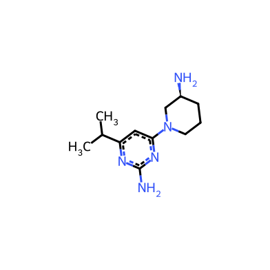 CC(C)c1cc(N2CCC[C@H](N)C2)nc(N)n1